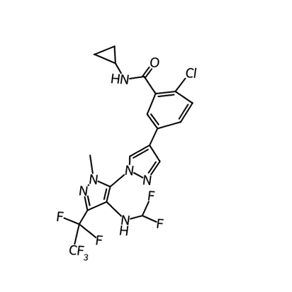 Cn1nc(C(F)(F)C(F)(F)F)c(NC(F)F)c1-n1cc(-c2ccc(Cl)c(C(=O)NC3CC3)c2)cn1